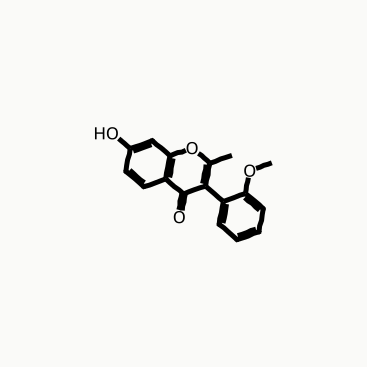 COc1ccccc1-c1c(C)oc2cc(O)ccc2c1=O